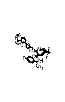 C[C@H](NC(=O)c1cc(C(F)(F)F)cnc1NCc1ccc(-c2ccc3ncnc(N)c3c2)s1)c1ccc(F)cc1